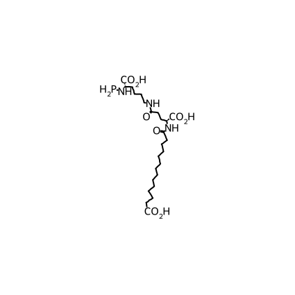 O=C(O)CCCCCCCCCCCCC(=O)N[C@@H](CCC(=O)NCCCC[C@H](NP)C(=O)O)C(=O)O